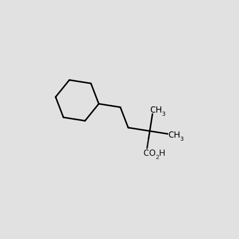 CC(C)(CCC1CCCCC1)C(=O)O